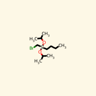 CCCC[Si](CBr)(OC(C)C)OC(C)C